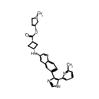 Cc1cccc(-c2[nH]cnc2-c2ccc3ncc(N[C@H]4C[C@H](C(=O)O[C@H]5CCN(C)C5)C4)cc3c2)n1